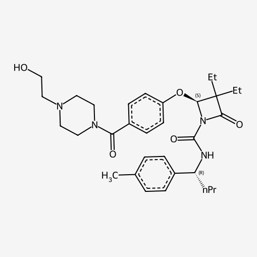 CCC[C@@H](NC(=O)N1C(=O)C(CC)(CC)[C@@H]1Oc1ccc(C(=O)N2CCN(CCO)CC2)cc1)c1ccc(C)cc1